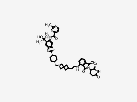 C=C1c2cccc(NCCC3CC4(C3)CN(C[C@H]3CC[C@H](c5nc6cc(C(C)(C)O)c(NC(=O)c7ccnc(C)n7)cc6s5)CC3)C4)c2C(=O)N1C1CCC(=O)NC1=O